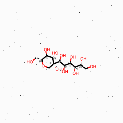 OC[C@@H](O)[C@@H](O)[C@H](O)[C@@H](O)C(O)[C@@]1(O)CO[C@H](CO)[C@@H](O)[C@@H]1O